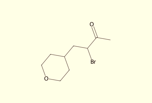 CC(=O)C(Br)CC1CCOCC1